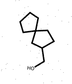 OCC1CCC2(CCCC2)C1